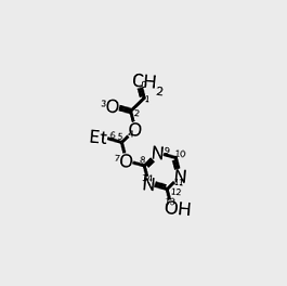 C=CC(=O)OC(CC)Oc1ncnc(O)n1